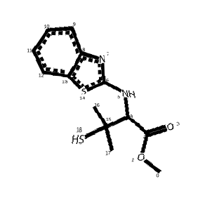 COC(=O)C(Nc1nc2ccccc2s1)C(C)(C)S